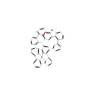 CC1(C)c2ccc(N(c3ccc4c(c3)C3(c5ccccc5-c5ccccc53)c3ccccc3-4)c3ccccc3-c3ccccc3)cc2-c2c(-c3ccccc3)cccc21